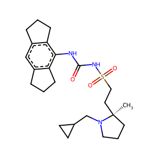 C[C@]1(CCS(=O)(=O)NC(=O)Nc2c3c(cc4c2CCC4)CCC3)CCCN1CC1CC1